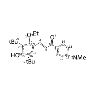 CCOc1c(C=CC(=O)c2ccc(NC)cc2)cc(C(C)(C)C)c(O)c1C(C)(C)C